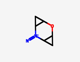 [N-]=[N+]1C2CC2OC2CC21